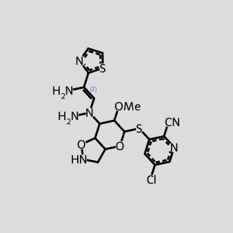 COC1C(Sc2cc(Cl)cnc2C#N)OC2CNOC2C1N(N)/C=C(\N)c1nccs1